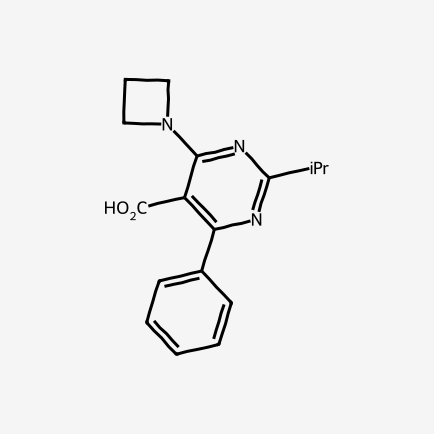 CC(C)c1nc(-c2ccccc2)c(C(=O)O)c(N2CCC2)n1